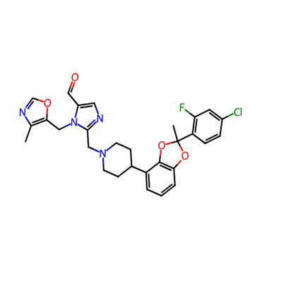 Cc1ncoc1Cn1c(C=O)cnc1CN1CCC(c2cccc3c2OC(C)(c2ccc(Cl)cc2F)O3)CC1